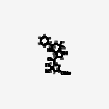 CCC1(CC)C[C@H](OC)CN1C(=O)C1=C2N[C@@H](c3ccccc3)CC(C)(C)N2NC1